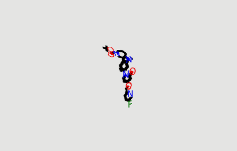 Cn1c2c(c3ccc(-n4ccc(OCc5ccc(F)cn5)cc4=O)cc31)CN(C(=O)OC(C)(C)C)CCC2